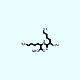 CNC(CCCCN)C(=O)NC(CCCCN)C(=O)OC